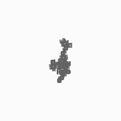 Cc1cc(Cl)c(OCCOc2ccc(C3=C(C(=O)N(Cc4ccccc4Cl)C4CC4)[C@H]4CN(C(=O)[C@@H]5C[C@@H](OC=O)CN5)C[C@@H](C3)N4)cc2)cc1C